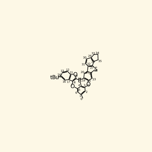 Cc1cc2c3c(c1)Oc1c(oc4ccc(C(C)(C)C)cc14)B3c1cc3c(cc1O2)sc1c2c(ccc13)CCC2